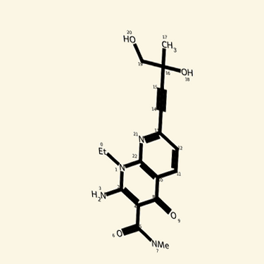 CCn1c(N)c(C(=O)NC)c(=O)c2ccc(C#CC(C)(O)CO)nc21